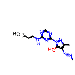 C/N=N/c1c(C)nn(-c2ncnc(NCCS(=O)(=O)O)n2)c1O